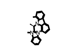 Cc1cccc2c3cccc4c3n(c12)[C@H](C)c1n(C)c2ccccc2[n+]1-4